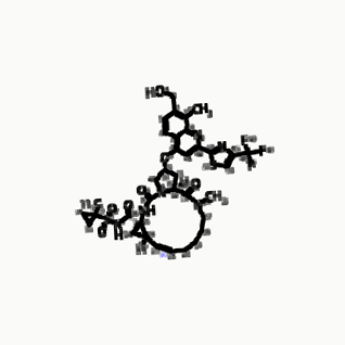 Cc1c(CO)ccc2c(O[C@H]3C[C@H]4C(=O)N(C)CCCC/C=C\[C@@H]5C[C@@]5(C(=O)NS(=O)(=O)C5(C)CC5)NC(=O)N4C3)cc(-c3nc(C(F)(F)F)cs3)nc12